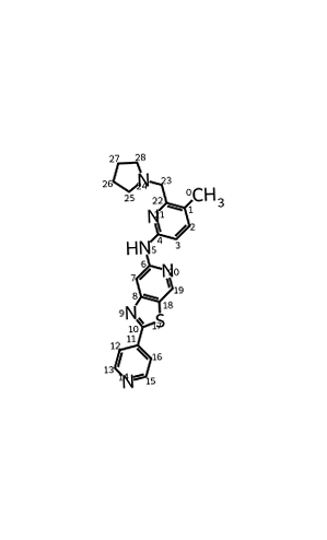 Cc1ccc(Nc2cc3nc(-c4ccncc4)sc3cn2)nc1CN1CCCC1